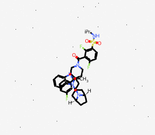 Cc1nc2ccccc2n1C1C[C@H]2CC[C@@H](C1)N2CCC1(c2cccc(F)c2)CCN(C(=O)c2c(F)ccc(S(=O)(=O)NC(C)C)c2F)CC1